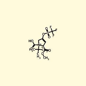 COC(=O)[C@@H]1C=C(OS(=O)(=O)C(F)(F)F)C[N+]1(C(=O)O)C(C)(C)C